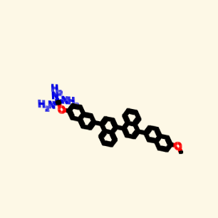 COc1ccc2cc(-c3ccc(-c4ccc(-c5ccc6cc(OC(N)(N)N)ccc6c5)c5ccccc45)c4ccccc34)ccc2c1